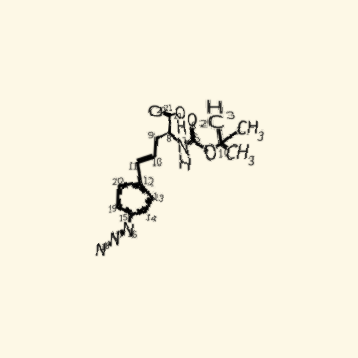 CC(C)(C)OC(=O)N[C@@H](CC=Cc1ccc(N=[N+]=[N-])cc1)C(=O)O